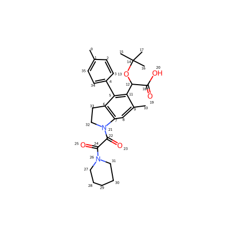 Cc1ccc(-c2c3c(cc(C)c2C(OC(C)(C)C)C(=O)O)N(C(=O)C(=O)N2CCCCC2)CC3)cc1